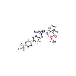 CCS(=O)(=O)c1ccc(-c2ccc(C[C@@H](NC)NC(=O)[C@@H]3C4CC[C@H](C4)N3C(=O)OC(C)(C)C)cc2)cc1